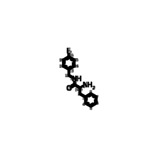 N[C@@H](Cc1ccccc1)C(=O)NCc1ccc(F)cc1